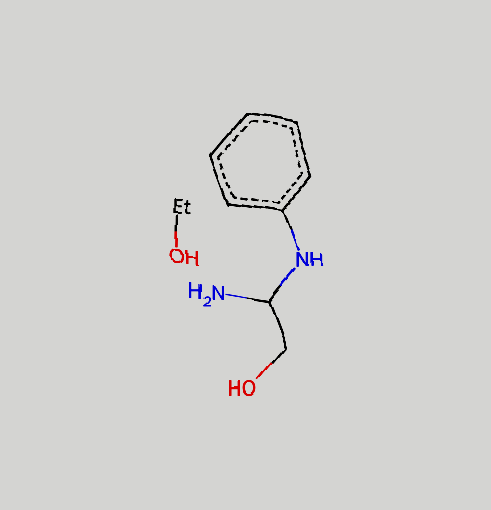 CCO.NC(CO)Nc1ccccc1